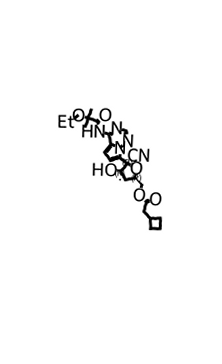 CCOC(C)(C)C(=O)Nc1ncnn2c([C@]3(C#N)O[C@@H](COC(=O)CC4CCC4)[CH][C@H]3O)ccc12